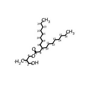 [CH2]C(CO)COC(=O)CC(CCCCCCCC)CCCCCCCC